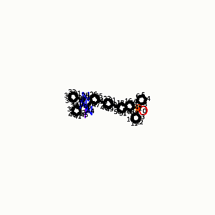 O=P(c1ccccc1)(c1ccccc1)c1ccc2cc(-c3ccc(-c4ccc5nc(-c6ccccc6)n(-c6ccccc6)/c(=N\I)c5c4)cc3)ccc2c1